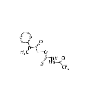 CN(C(=O)COC(=S)NNC(=O)C(F)(F)F)c1ccccc1